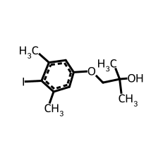 Cc1cc(OCC(C)(C)O)cc(C)c1I